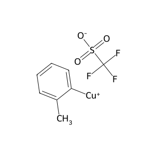 Cc1cccc[c]1[Cu+].O=S(=O)([O-])C(F)(F)F